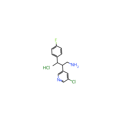 CC(c1ccc(F)cc1)C(CN)c1cncc(Cl)c1.Cl